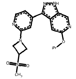 CC(C)Oc1cc2c(-c3ccnc(N4CC(S(C)(=O)=O)C4)c3)n[nH]c2cn1